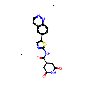 O=C1CC(C(=O)Nc2ncc(-c3ccc4nnccc4c3)s2)CC(=O)N1